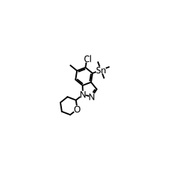 Cc1cc2c(cnn2C2CCCCO2)[c]([Sn]([CH3])([CH3])[CH3])c1Cl